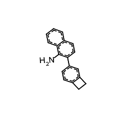 Nc1c(-c2ccc3c(c2)CC3)ccc2ccccc12